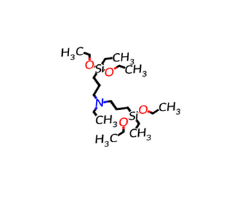 CCO[Si](CC)(CCCN(CC)CCC[Si](CC)(OCC)OCC)OCC